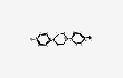 Fc1ccc(C2CCN(c3ccc(Br)cc3)CC2)cc1